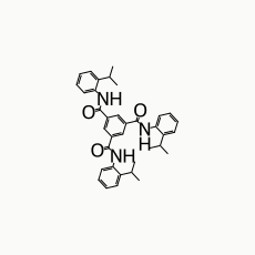 CC(C)c1ccccc1NC(=O)c1cc(C(=O)Nc2ccccc2C(C)C)cc(C(=O)Nc2ccccc2C(C)C)c1